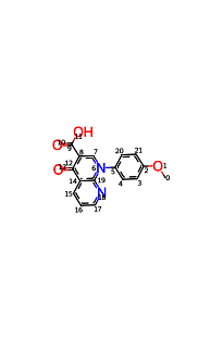 COc1ccc(-n2cc(C(=O)O)c(=O)c3cccnc32)cc1